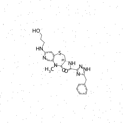 CN1C(=O)[C@@H](NC(=O)c2n[nH]c(Cc3ccccc3)n2)CSc2cc(NCCCO)ncc21